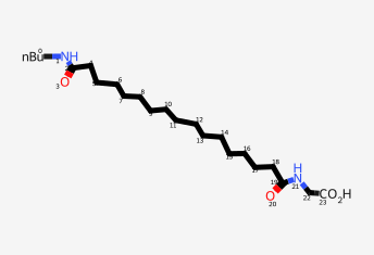 CCCCNC(=O)CCCCCCCCCCCCCCCC(=O)NCC(=O)O